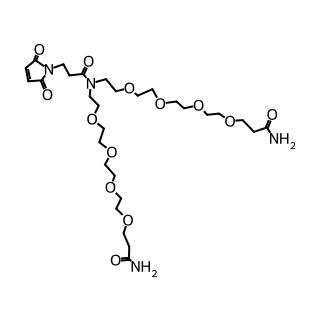 NC(=O)CCOCCOCCOCCOCCN(CCOCCOCCOCCOCCC(N)=O)C(=O)CCN1C(=O)C=CC1=O